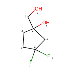 OCC1(O)CCC(F)(F)C1